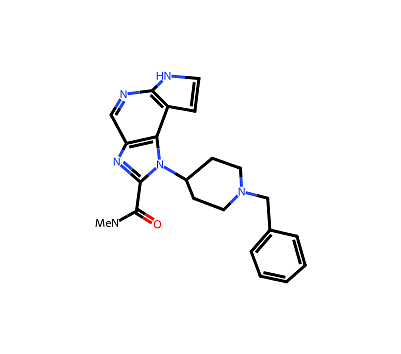 CNC(=O)c1nc2cnc3[nH]ccc3c2n1C1CCN(Cc2ccccc2)CC1